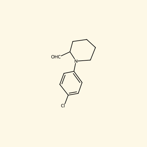 O=CC1CCCCN1c1ccc(Cl)cc1